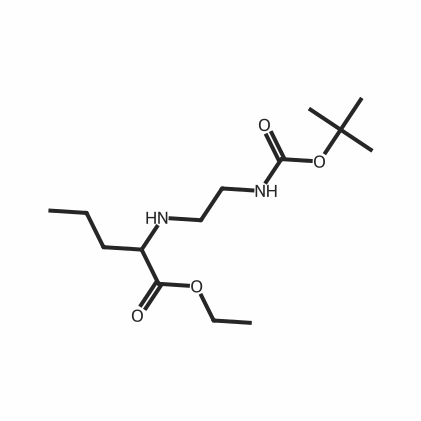 CCCC(NCCNC(=O)OC(C)(C)C)C(=O)OCC